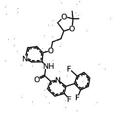 CC1(C)OCC(CCOc2ccncc2NC(=O)c2ccc(F)c(-c3c(F)cccc3F)n2)O1